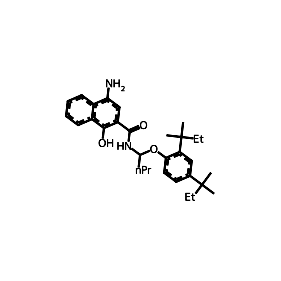 CCCC(NC(=O)c1cc(N)c2ccccc2c1O)Oc1ccc(C(C)(C)CC)cc1C(C)(C)CC